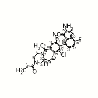 C=CC(=O)N1CCN2C(=C)c3cc(F)c(-c4ccc(F)c5sc(N)c(C#N)c45)c(Cl)c3OC[C@H]2C1